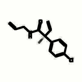 C=CCNC(=O)[C@@](C)(C=C)c1ccc(Cl)cc1